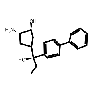 CC[C@@](O)(c1ccc(-c2ccccc2)cc1)C1C[C@H](N)[C@@H](O)C1